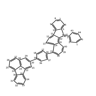 c1ccc(-n2c3ccccc3c3ccc4c(-c5ccc(-c6cc7c8c(cccc8c6)-c6ccccc6-7)cc5)cccc4c32)cc1